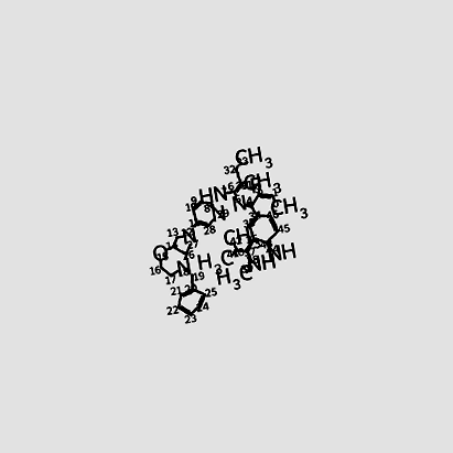 C\C=C(F)/C(=N\C(Nc1ccc(N2CC3OCCN(Cc4ccccc4)C3C2)cn1)=C(/C)CC)C1=C/C(=C(/NC)C(C)C)C(=N)C=C1